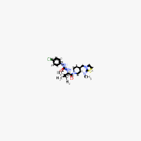 C/N=c1\sccn1CC1CCN(C(=O)[C@H](NC(=O)Nc2ccc(Cl)cc2)C(C)(C)C)CC1